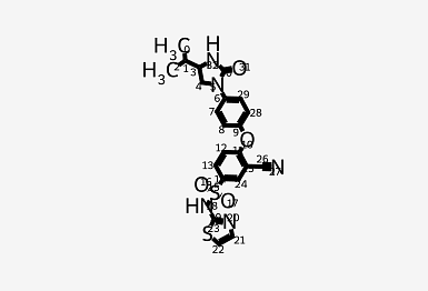 CC(C)C1CN(c2ccc(Oc3ccc(S(=O)(=O)Nc4nccs4)cc3C#N)cc2)C(=O)N1